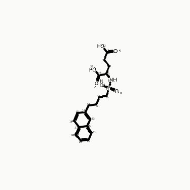 O=C(O)CCC(NP(=O)(O)CCCCc1ccc2ccccc2c1)C(=O)O